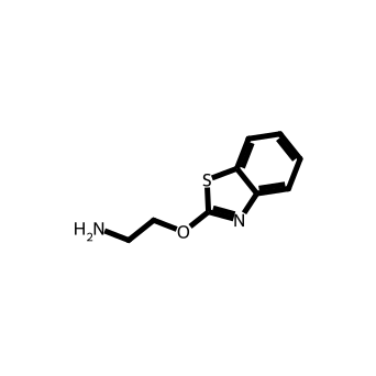 NCCOc1nc2ccccc2s1